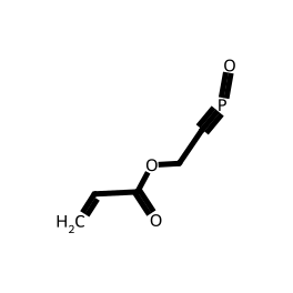 C=CC(=O)OCC#P=O